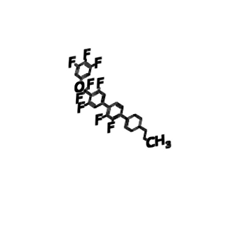 CCCC1CC=C(c2ccc(-c3cc(F)c(C(F)(F)Oc4cc(F)c(F)c(F)c4)c(F)c3)c(F)c2F)CC1